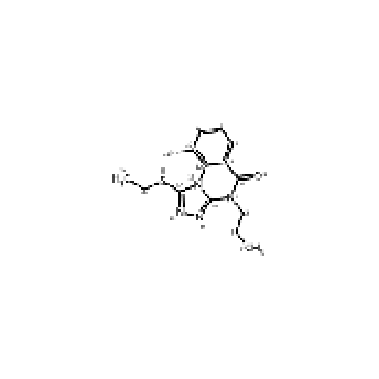 CCCn1c(=O)c2cccc(F)c2n2c(SCC)nnc12